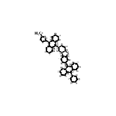 Cc1ccc(-c2c3ccccc3c(C3=CC4c5ccc(-c6c7ccccc7c(-c7ccccc7)c7ccccc67)cc5SC4C=C3)c3ccccc23)s1